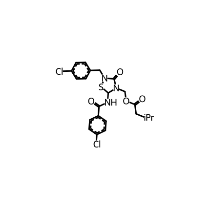 CC(C)CC(=O)OCN1C(=O)N(Cc2ccc(Cl)cc2)SC1NC(=O)c1ccc(Cl)cc1